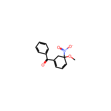 COC1([N+](=O)[O-])C=CC=C(C(=O)c2ccccc2)C1